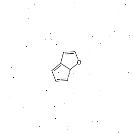 C1=CC2OC=CC2=C1